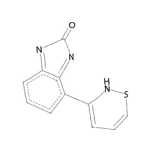 O=C1N=c2cccc(C3=CC=CSN3)c2=N1